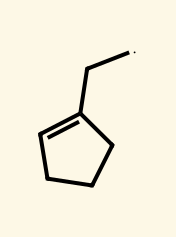 [CH2]CC1=CCCC1